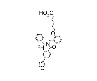 [2H]C(c1ccccc1)N(Cc1ccccc1OCCCCCC(=O)O)C(=O)c1ccc(-c2ccoc2)cc1